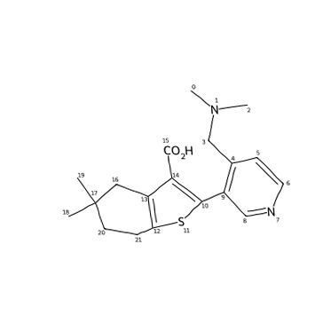 CN(C)Cc1ccncc1-c1sc2c(c1C(=O)O)CC(C)(C)CC2